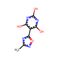 Cc1noc(-c2c(O)nc(O)nc2O)n1